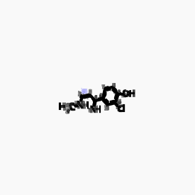 CN/C=C\C(=N)c1ccc(O)c(Cl)c1